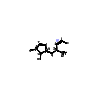 C/C=C\N(CN1C=CN(C)C1C)C(C)C